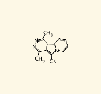 Cc1nnc(C)c2c1c(C#N)n1ccccc21